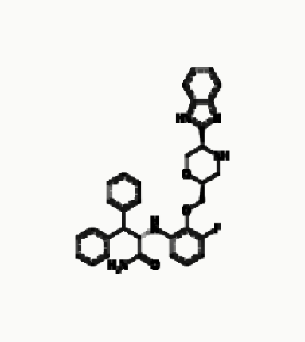 NC(=O)[C@@H](Nc1cccc(F)c1OC[C@@H]1CN[C@H](c2nc3ccccc3[nH]2)CO1)C(c1ccccc1)c1ccccc1